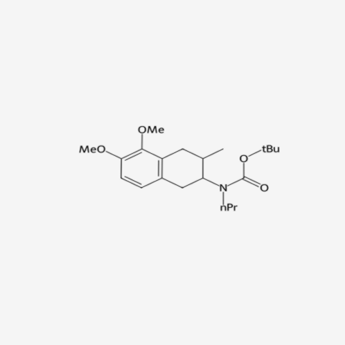 CCCN(C(=O)OC(C)(C)C)C1Cc2ccc(OC)c(OC)c2CC1C